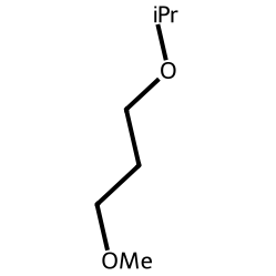 [CH2]OCCCOC(C)C